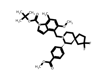 COC(=O)c1ccc([C@H]2C[C@@]3(CCN2Cc2c(OC)cc(C)c4c2ccn4C(=O)OC(C)(C)C)CCC(F)(F)C3)cc1